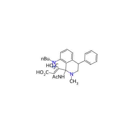 CCCCNc1cccc2c1C(NC(C)=O)(C(=CC(=O)O)C(=O)O)N(C)CC2c1ccccc1